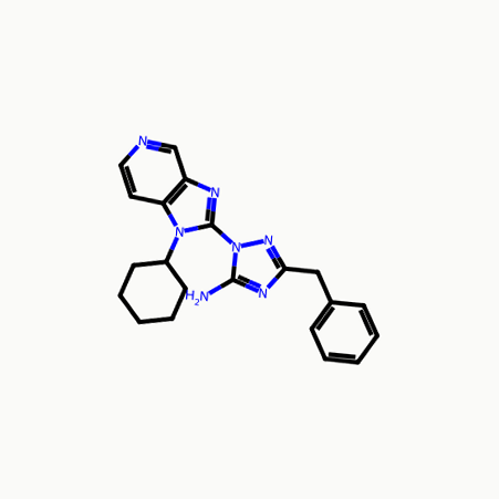 Nc1nc(Cc2ccccc2)nn1-c1nc2cnccc2n1C1CCCCC1